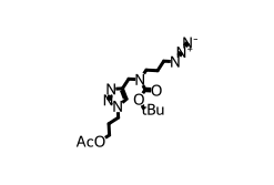 CC(=O)OCCCn1cc(CN(CCCN=[N+]=[N-])C(=O)OC(C)(C)C)nn1